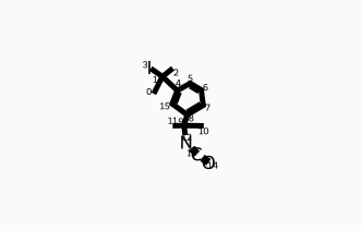 CC(C)(I)c1cccc(C(C)(C)N=C=O)c1